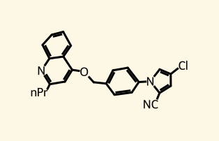 CCCc1cc(OCc2ccc(-n3cc(Cl)cc3C#N)cc2)c2ccccc2n1